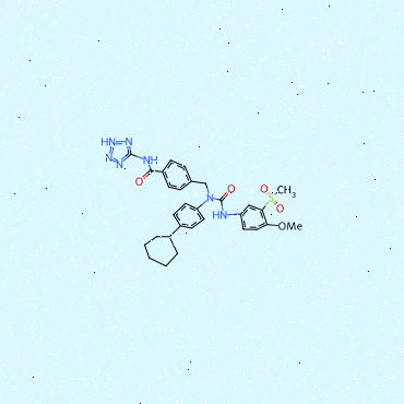 COc1ccc(NC(=O)N(Cc2ccc(C(=O)Nc3nn[nH]n3)cc2)c2ccc(C3CCCCC3)cc2)cc1S(C)(=O)=O